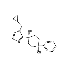 N#C[C@]1(c2ccccc2)CC[C@@](O)(c2nccn2CC2CC2)CC1